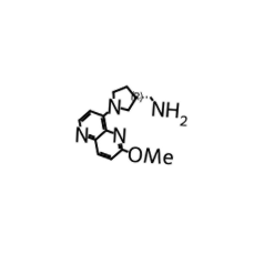 COc1ccc2nccc(N3CC[C@H](CN)C3)c2n1